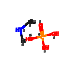 CCNC(C)(C)C.O=P(O)(O)O